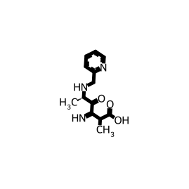 CC(C(=N)C(=O)[C@H](C)NCc1ccccn1)C(=O)O